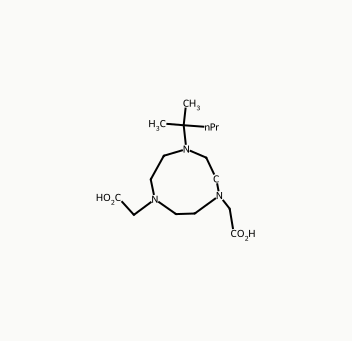 CCCC(C)(C)N1CCN(CC(=O)O)CCN(CC(=O)O)CC1